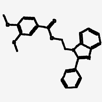 COc1ccc(C(=O)OCCn2c(-c3ccccc3)nc3ccccc32)cc1OC